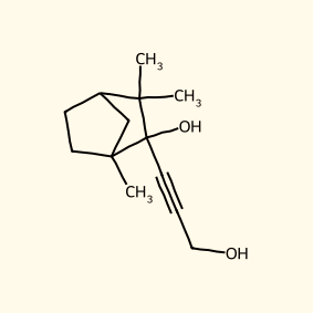 CC12CCC(C1)C(C)(C)C2(O)C#CCO